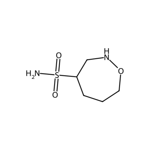 NS(=O)(=O)C1CCCONC1